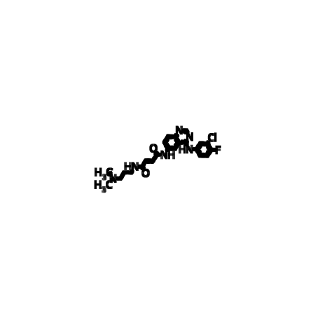 CN(C)CCCNC(=O)C=CC(=O)Nc1ccc2ncnc(Nc3ccc(F)c(Cl)c3)c2c1